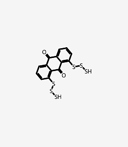 O=C1c2cccc(SSS)c2C(=O)c2c(SSS)cccc21